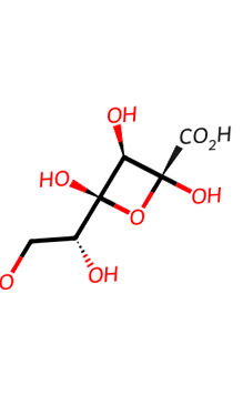 O=C(O)[C@@]1(O)O[C@](O)([C@H](O)CO)[C@H]1O